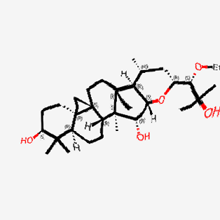 CCO[C@@H]([C@H]1C[C@@H](C)[C@H]2[C@H](O1)[C@H](O)[C@@]1(C)[C@@H]3CC[C@H]4C(C)(C)[C@@H](O)CC[C@@]45C[C@@]35CC[C@]21C)C(C)(C)O